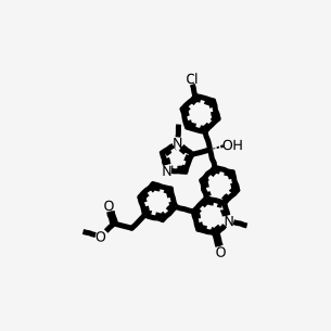 COC(=O)Cc1cccc(-c2cc(=O)n(C)c3ccc([C@](O)(c4ccc(Cl)cc4)c4cncn4C)cc23)c1